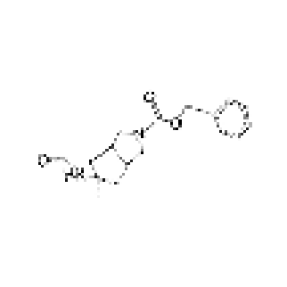 CC1(NC=O)CC2CN(C(=O)OCc3ccccc3)CC2C1